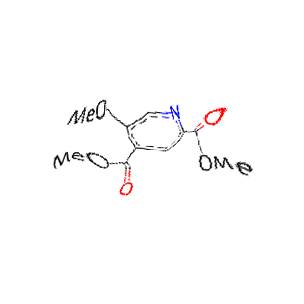 COC(=O)c1cc(C(=O)OC)c(OC)cn1